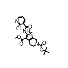 COC(=O)c1c(NC(=O)c2cccnc2Cl)sc2c1CCN(C(=O)OC(C)(C)C)C2